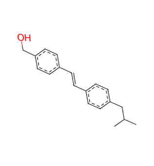 CC(C)Cc1ccc(/C=C/c2ccc(CO)cc2)cc1